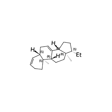 CC[C@H]1CC[C@H]2C3=CC[C@H]4C=CCC[C@]4(C)[C@H]3CC[C@]12C